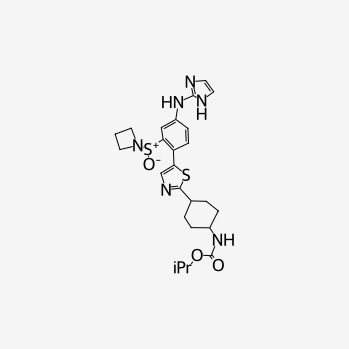 CC(C)OC(=O)NC1CCC(c2ncc(-c3ccc(Nc4ncc[nH]4)cc3[S+]([O-])N3CCC3)s2)CC1